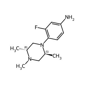 C[C@@H]1CN(c2ccc(N)cc2F)[C@@H](C)CN1C